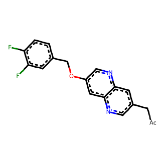 CC(=O)Cc1cnc2cc(OCc3ccc(F)c(F)c3)cnc2c1